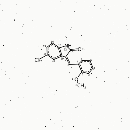 COc1ccccc1C=C1C(=O)Nc2ccc(Cl)cc21